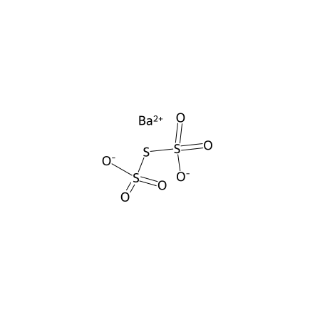 O=S(=O)([O-])SS(=O)(=O)[O-].[Ba+2]